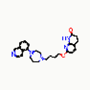 O=C1CCc2ccc(OCCCCN3CCCN(c4cccc5cnccc45)CC3)nc2N1